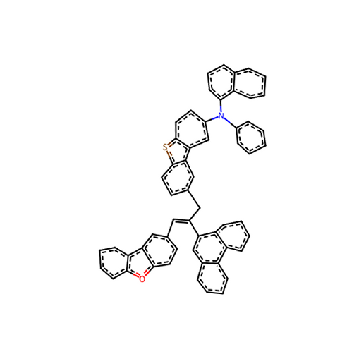 C(=C(\Cc1ccc2sc3ccc(N(c4ccccc4)c4cccc5ccccc45)cc3c2c1)c1cc2ccccc2c2ccccc12)/c1ccc2oc3ccccc3c2c1